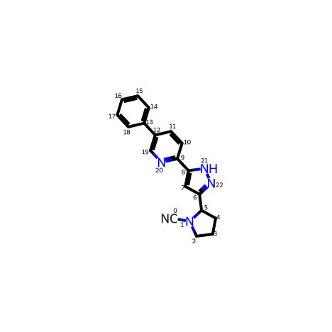 N#CN1CCCC1c1cc(-c2ccc(-c3ccccc3)cn2)[nH]n1